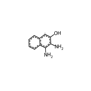 Nc1c(O)[c]c2ccccc2c1N